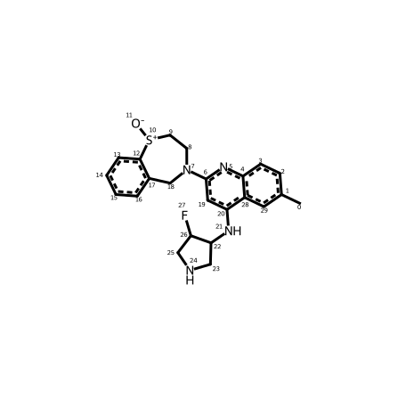 Cc1ccc2nc(N3CC[S+]([O-])c4ccccc4C3)cc(NC3CNCC3F)c2c1